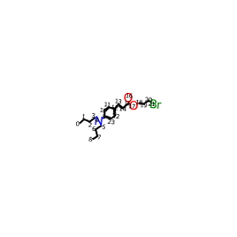 CCCCN(CCCC)c1ccc(/C=C/C(=O)OCCCBr)cc1